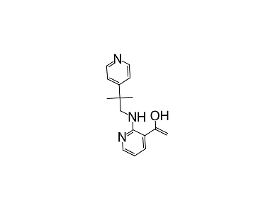 C=C(O)c1cccnc1NCC(C)(C)c1ccncc1